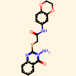 Nn1c(SCC(=O)Nc2ccc3c(c2)OCCO3)nc2ccccc2c1=O